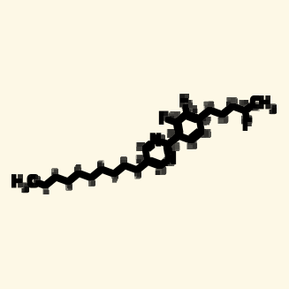 CCCCCCCCCCc1cnc(-c2ccc(CCCC(C)F)c(F)c2F)nc1